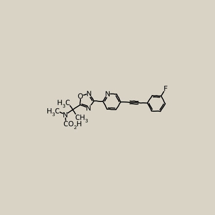 CN(C(=O)O)C(C)(C)c1nc(-c2ccc(C#Cc3cccc(F)c3)cn2)no1